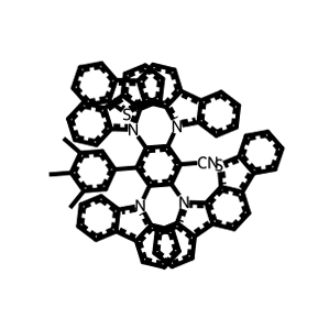 Cc1cc(-c2c(-n3c4ccccc4c4ccccc43)c(-n3c4ccccc4c4ccc5c6ccccc6sc5c43)c(C#N)c(-n3c4ccccc4c4ccc5c6ccccc6sc5c43)c2-n2c3ccccc3c3ccccc32)cc(C)c1C